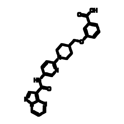 O=C(O)c1cccc(OCC2CCN(c3ccc(NC(=O)c4cnn5cccnc45)cn3)CC2)c1